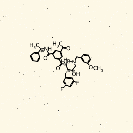 BN(Cc1cccc(OC)c1)C[C@@H](O)[C@H](Cc1cc(F)cc(F)c1)NC(=O)c1cc(C(C)=O)cc(C(=O)N[C@H](C)c2ccccc2)c1